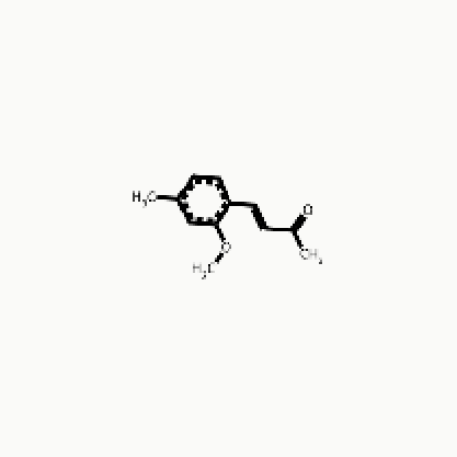 COc1cc(C)ccc1/C=C/C(C)=O